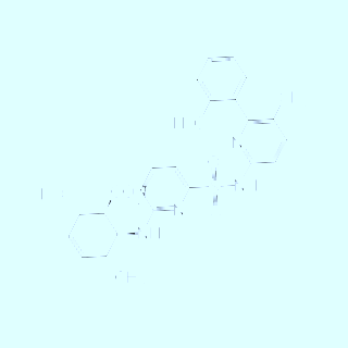 Cc1ccccc1-c1nc(NS(=O)(=O)c2cccc(N[C@@H]3[C@H](C(=O)O)[C@@H](C)C=C[C@H]3C)n2)ccc1C(F)(F)F